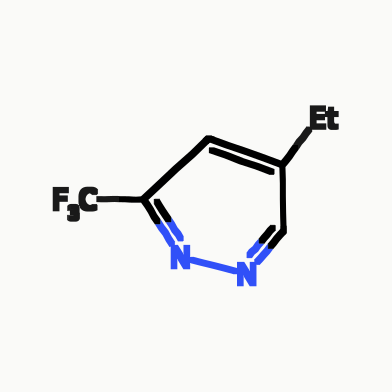 CCc1cnnc(C(F)(F)F)c1